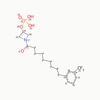 O=C(CCCCCCCCc1cccc(C(F)(F)F)c1)N1CC(OP(=O)(O)O)C1